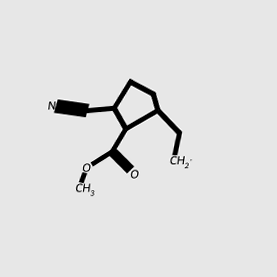 [CH2]CC1C[CH]C(C#N)C1C(=O)OC